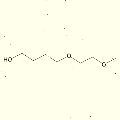 COCCOCCCCO